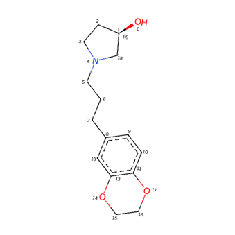 O[C@@H]1CCN(CCCc2ccc3c(c2)OCCO3)C1